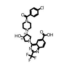 O=C(O)c1ccc2nc(C(F)(F)F)nc(N3C[C@@H](O)[C@H](N4CCN(C(=O)c5ccc(Cl)cc5)CC4)C3)c2c1